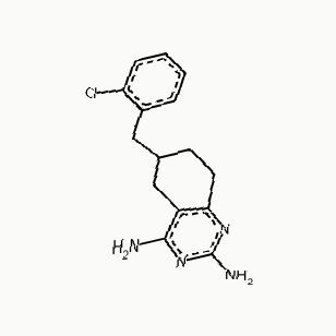 Nc1nc(N)c2c(n1)CCC(Cc1ccccc1Cl)C2